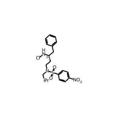 CC(C)CN(CC[C@H](Cc1ccccc1)NCl)S(=O)(=O)c1ccc([N+](=O)[O-])cc1